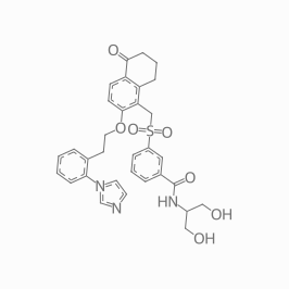 O=C(NC(CO)CO)c1cccc(S(=O)(=O)Cc2c(OCCc3ccccc3-n3ccnc3)ccc3c2CCCC3=O)c1